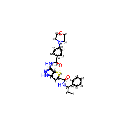 CC[C@@H](NC(=O)c1cc2[nH]nc(NC(=O)c3ccc(N4CCOCC4)cc3)c2s1)c1ccccc1